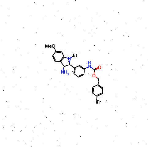 CCN1c2cc(OC)ccc2C(N)C1c1cccc(NC(=O)OCc2ccc(C(C)C)cc2)c1